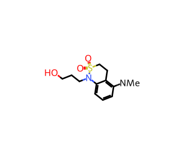 CNc1cccc2c1CCS(=O)(=O)N2CCCO